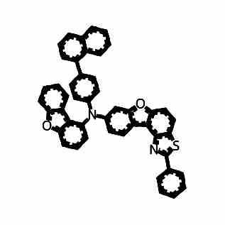 c1ccc(-c2nc3c(ccc4oc5cc(N(c6ccc(-c7cccc8ccccc78)cc6)c6cccc7oc8ccccc8c67)ccc5c43)s2)cc1